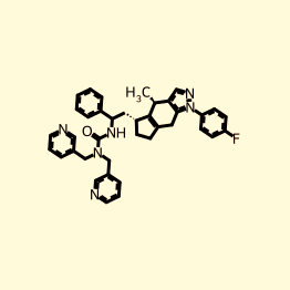 C[C@@H]1C2=C(CC[C@@H]2CC(NC(=O)N(Cc2cccnc2)Cc2cccnc2)c2ccccc2)Cc2c1cnn2-c1ccc(F)cc1